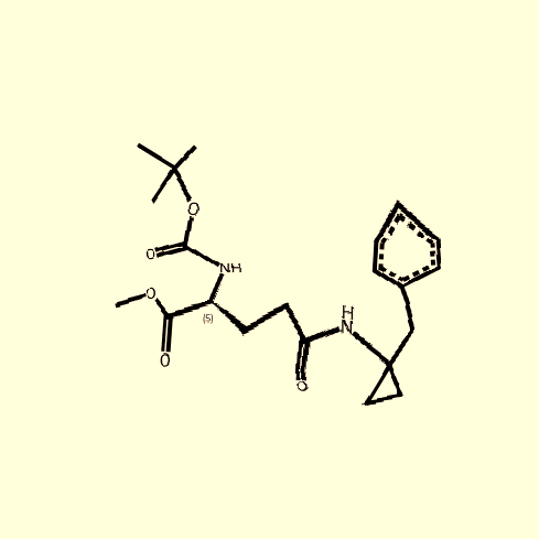 COC(=O)[C@H](CCC(=O)NC1(Cc2ccccc2)CC1)NC(=O)OC(C)(C)C